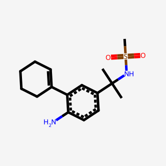 CC(C)(NS(C)(=O)=O)c1ccc(N)c(C2=CCCCC2)c1